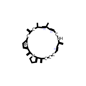 C=C1CC(C)/C=C(C)/C=C/CNC(=C)/C=C/CCCC(=C)C2=CCCN2C(=C)C2=CCC(C1)N2